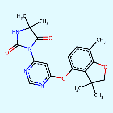 Cc1ccc(Oc2cc(N3C(=O)NC(C)(C)C3=O)ncn2)c2c1OCC2(C)C